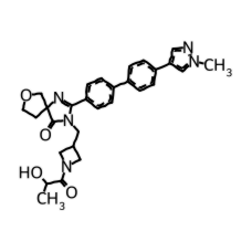 CC(O)C(=O)N1CC(CN2C(=O)C3(CCOC3)N=C2c2ccc(-c3ccc(-c4cnn(C)c4)cc3)cc2)C1